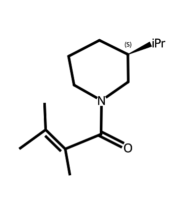 CC(C)=C(C)C(=O)N1CCC[C@@H](C(C)C)C1